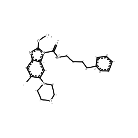 COc1nc2cc(F)c(N3CCOCC3)cc2n1C(=O)NCCCCc1ccccc1